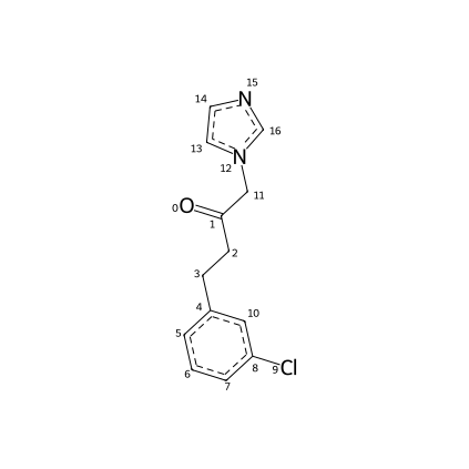 O=C(CCc1cccc(Cl)c1)Cn1ccnc1